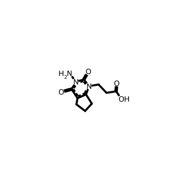 Nn1c(=O)c2c(n(CCC(=O)O)c1=O)CCC2